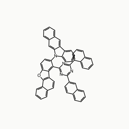 c1ccc2cc(-c3nc(-c4cccc5ccccc45)nc(-c4c(-n5c6ccccc6c6cc7ccccc7cc65)ccc5oc6c7ccccc7ccc6c45)n3)ccc2c1